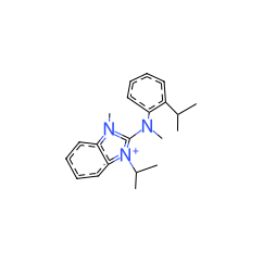 CC(C)c1ccccc1N(C)c1n(C)c2ccccc2[n+]1C(C)C